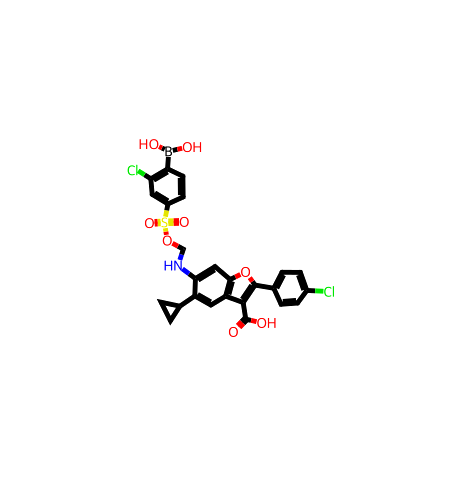 O=C(O)c1c(-c2ccc(Cl)cc2)oc2cc(NCOS(=O)(=O)c3ccc(B(O)O)c(Cl)c3)c(C3CC3)cc12